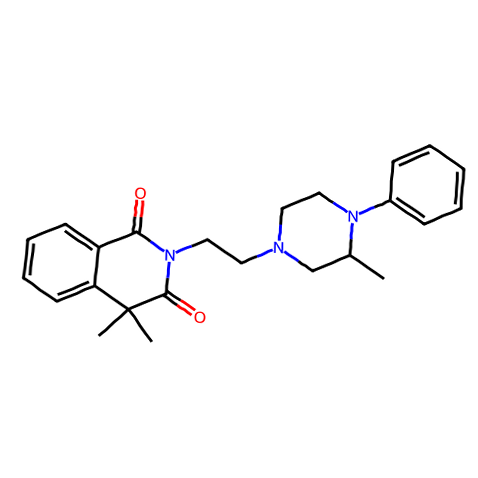 CC1CN(CCN2C(=O)c3ccccc3C(C)(C)C2=O)CCN1c1ccccc1